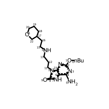 CCCCOc1nc(N)c2[nH]c(=O)n(CCCNCCC3CCCOC3)c2n1